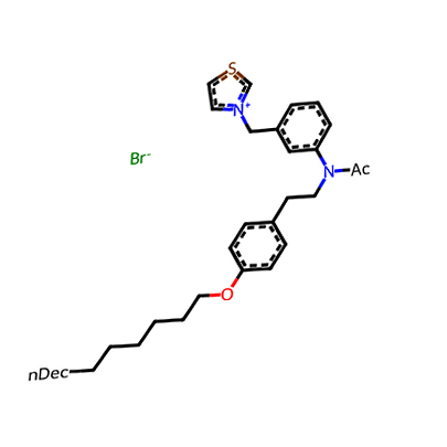 CCCCCCCCCCCCCCCCOc1ccc(CCN(C(C)=O)c2cccc(C[n+]3ccsc3)c2)cc1.[Br-]